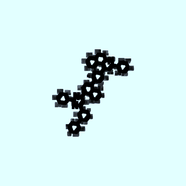 c1ccc(-c2cccc(-c3cc(-c4ccc(-c5ccc(-c6cc(-c7ccccc7)nc7ccc8ccccc8c67)cc5)c5ccccc45)nc(-c4ccccc4)n3)c2)cc1